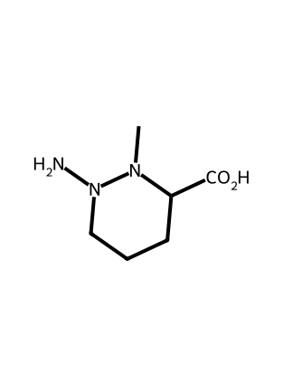 CN1C(C(=O)O)CCCN1N